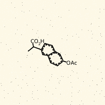 CC(=O)Oc1ccc2cc(C(C)C(=O)O)ccc2c1